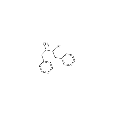 C[C](Cc1ccccc1)C(Cc1ccccc1)C(C)C